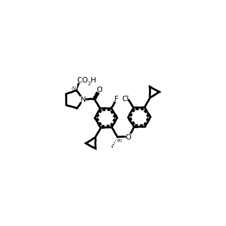 C[C@@H](Oc1ccc(C2CC2)c(Cl)c1)c1cc(F)c(C(=O)N2CCC[C@H]2C(=O)O)cc1C1CC1